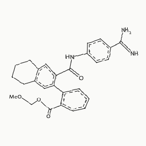 COCOC(=O)c1ccccc1-c1cc2c(cc1C(=O)Nc1ccc(C(=N)N)cc1)CCCC2